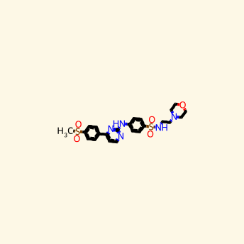 CS(=O)(=O)c1ccc(-c2ccnc(Nc3ccc(S(=O)(=O)NCCN4CCOCC4)cc3)n2)cc1